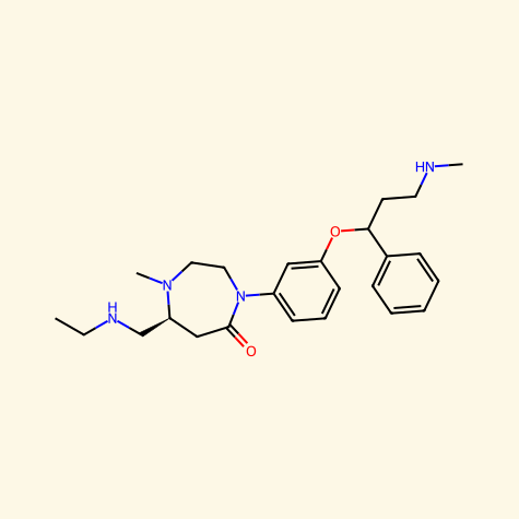 CCNC[C@@H]1CC(=O)N(c2cccc(OC(CCNC)c3ccccc3)c2)CCN1C